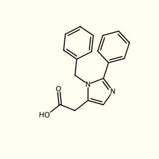 O=C(O)Cc1cnc(-c2ccccc2)n1Cc1ccccc1